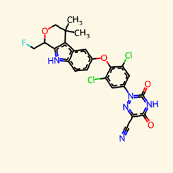 CC1(C)COC(CF)c2[nH]c3ccc(Oc4c(Cl)cc(-n5nc(C#N)c(=O)[nH]c5=O)cc4Cl)cc3c21